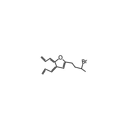 C=C/C=c1/cc(CCC(C)Br)o/c1=C/C=C